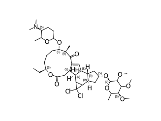 CC[C@H]1CCC[C@H](OC2CC[C@H](N(C)C)C(C)O2)[C@@H](C)C(=O)C2=C[C@H]3[C@@H]4C[C@H](O[C@@H]5OC(C)[C@H](OC)C(OC)C5OC)C[C@H]4C4C([C@H]3[C@@H]2CC(=O)O1)C4(Cl)Cl